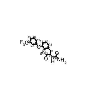 CN1C(=O)C(NC(N)=O)Cc2cccc(Oc3cccc(C(F)(F)F)c3)c21